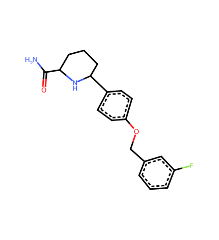 NC(=O)C1CCCC(c2ccc(OCc3cccc(F)c3)cc2)N1